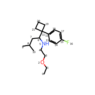 CCOCCNC(CC(C)C)C1(c2ccc(F)cc2)CCC1